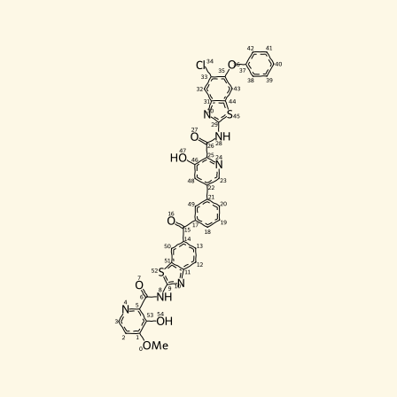 COc1ccnc(C(=O)Nc2nc3ccc(C(=O)c4cccc(-c5cnc(C(=O)Nc6nc7cc(Cl)c(Oc8ccccc8)cc7s6)c(O)c5)c4)cc3s2)c1O